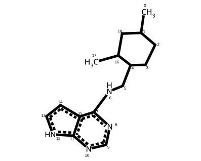 CC1CCC(CNc2ncnc3[nH]ccc23)C(C)C1